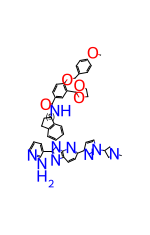 COc1ccc(COc2ccc(C(=O)N[C@H]3CCc4cc(-n5c(-c6cccnc6N)nc6ccc(-c7ccn(C8CN(C)C8)n7)nc65)ccc43)cc2C2OCCO2)cc1